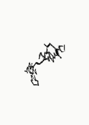 Cc1cc(Cl)c(C)n2nc(/C=C/c3nc(N4CCCC4)n(C)n3)nc12